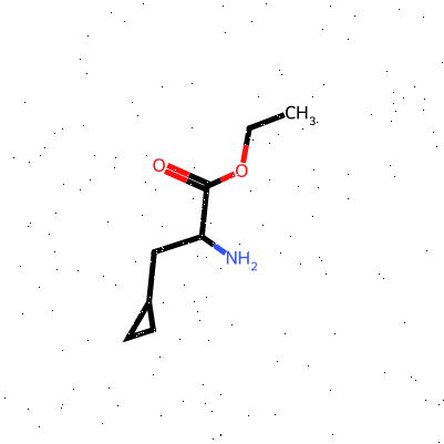 CCOC(=O)C(N)CC1CC1